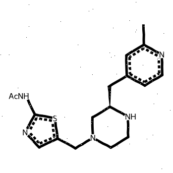 CC(=O)Nc1ncc(CN2CCN[C@H](Cc3ccnc(C)c3)C2)s1